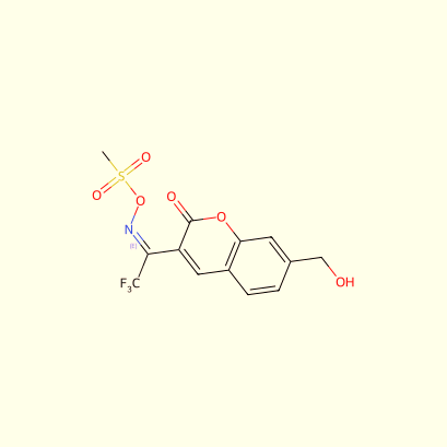 CS(=O)(=O)O/N=C(\c1cc2ccc(CO)cc2oc1=O)C(F)(F)F